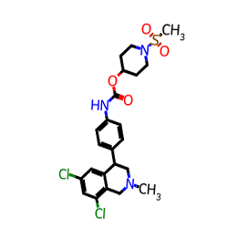 CN1Cc2c(Cl)cc(Cl)cc2C(c2ccc(NC(=O)OC3CCN(S(C)(=O)=O)CC3)cc2)C1